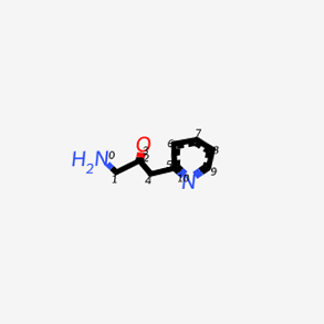 NCC(=O)Cc1ccccn1